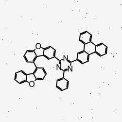 c1ccc(-c2nc(-c3ccc4c5ccccc5c5ccccc5c4c3)nc(-c3ccc4oc5cccc(-c6cccc7oc8ccccc8c67)c5c4c3)n2)cc1